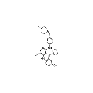 CN1CCN(Cc2ccc(Nc3ncc(Cl)c(Nc4ccc(O)cc4SN4CCCC4)n3)cc2)CC1